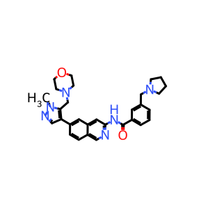 Cn1ncc(-c2ccc3cnc(NC(=O)c4cccc(CN5CCCC5)c4)cc3c2)c1CN1CCOCC1